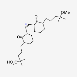 COC(C)(C)CCCC1CCCC(/C=C\C2CCCC(CCCC(C)(C)C(=O)O)C2=O)C1=O